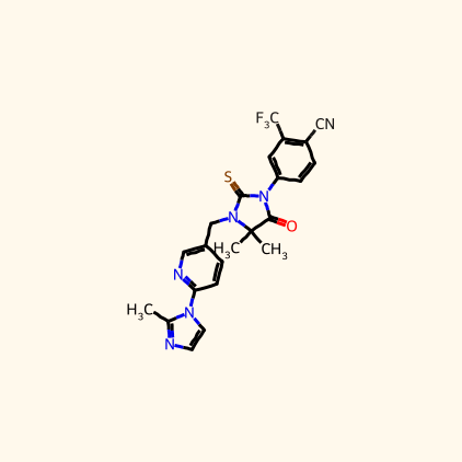 Cc1nccn1-c1ccc(CN2C(=S)N(c3ccc(C#N)c(C(F)(F)F)c3)C(=O)C2(C)C)cn1